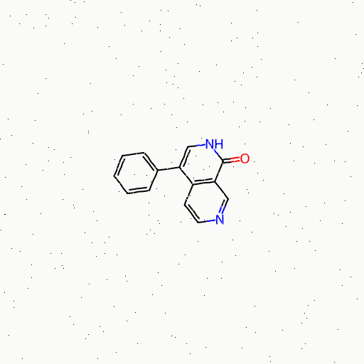 O=c1[nH]cc(-c2ccccc2)c2ccncc12